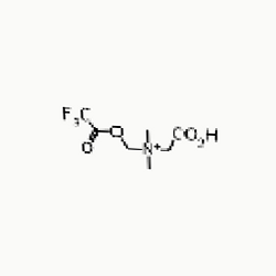 C[N+](C)(COC(=O)C(F)(F)F)CC(=O)O